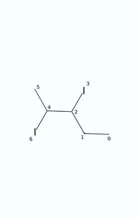 CCC(I)C(C)I